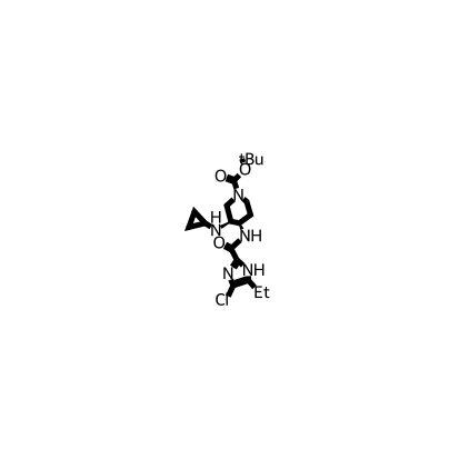 CCc1[nH]c(C(=O)N[C@@H]2CCN(C(=O)OC(C)(C)C)C[C@@H]2NC2CC2)nc1Cl